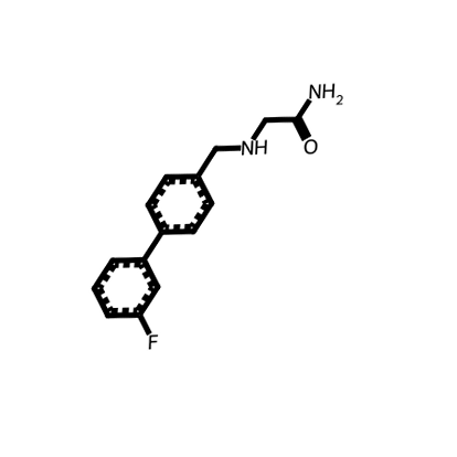 NC(=O)CNCc1ccc(-c2cccc(F)c2)cc1